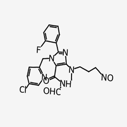 CN(CCCN=O)c1nc(-c2ccccc2F)n(Cc2ccc(Cl)cn2)c1C(=O)NC=O